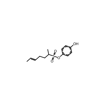 CC=CCCC(C)S(=O)(=O)Oc1ccc(O)cc1